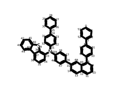 c1ccc(-c2ccc(-c3cccc4ccc(-c5ccc(N(c6ccc(-c7ccccc7)cc6)c6cccc7c6sc6ccccc67)cc5)cc34)cc2)cc1